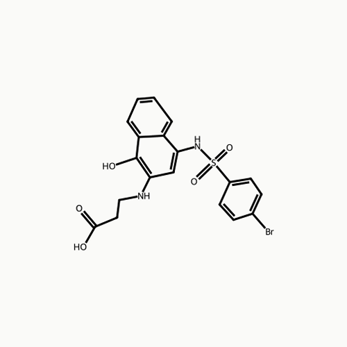 O=C(O)CCNc1cc(NS(=O)(=O)c2ccc(Br)cc2)c2ccccc2c1O